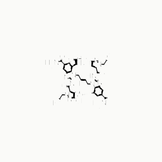 C#CCn1nc(C)cc1C(=O)Nc1nc2cc(C(N)=O)cc(OC)c2n1C/C=C/Cn1c(NC(=O)c2cc(C)nn2CC#C)nc2cc(C(N)=O)c3oc(C)cc3c21